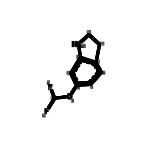 FC(F)Oc1ccc2c(c1)NCC2